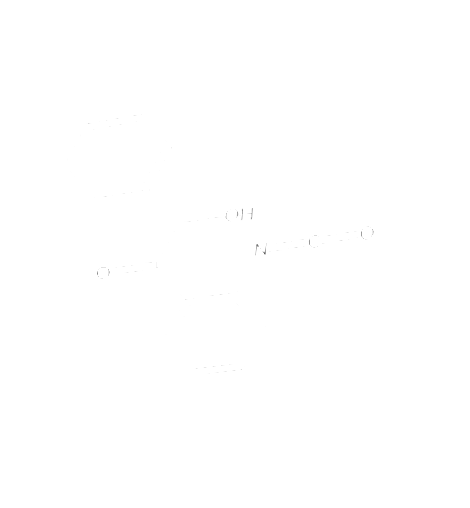 O=C=Nc1ccccc1C(=O)C(O)c1ccccc1